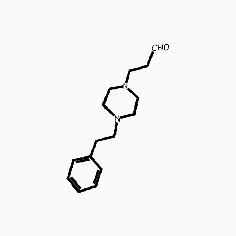 O=CCCN1CCN(CCc2ccccc2)CC1